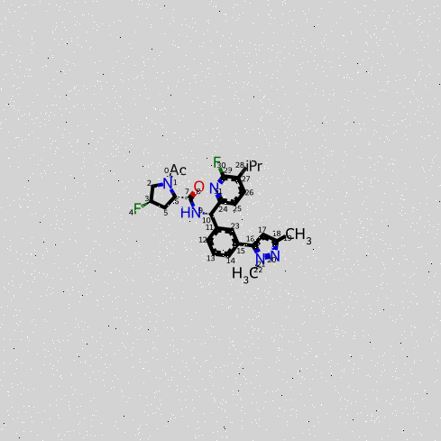 CC(=O)N1C[C@H](F)C[C@H]1C(=O)N[C@@H](c1cccc(-c2cc(C)nn2C)c1)c1ccc(C(C)C)c(F)n1